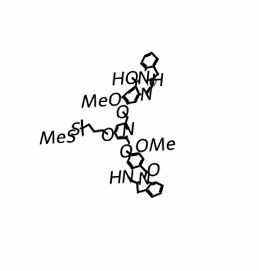 COc1cc2c(cc1OCc1cc(OCCCC(C)(C)SSC)cc(COc3cc4c(cc3OC)C(=O)N3c5ccccc5CC3CN4)n1)N=C[C@@H]1Cc3ccccc3N1C2O